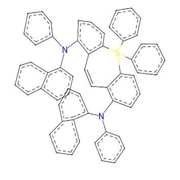 C1=Cc2c(N(c3ccccc3)c3cccc4ccccc34)cccc2S(c2ccccc2)(c2ccccc2)c2cccc(N(c3ccccc3)c3cccc4ccccc34)c21